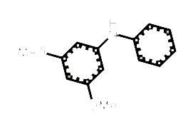 COc1cc(OC)cc([SiH]c2ccccc2)c1